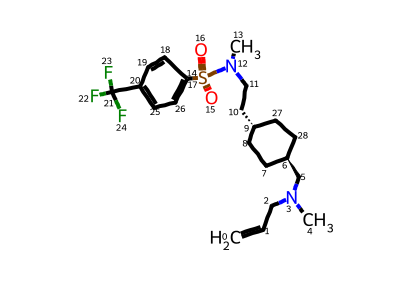 C=CCN(C)C[C@H]1CC[C@H](CCN(C)S(=O)(=O)c2ccc(C(F)(F)F)cc2)CC1